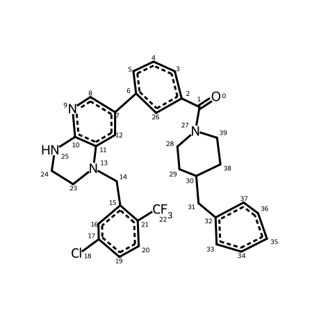 O=C(c1cccc(-c2cnc3c(c2)N(Cc2cc(Cl)ccc2C(F)(F)F)CCN3)c1)N1CCC(Cc2ccccc2)CC1